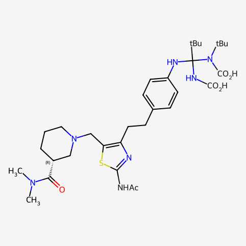 CC(=O)Nc1nc(CCc2ccc(NC(NC(=O)O)(N(C(=O)O)C(C)(C)C)C(C)(C)C)cc2)c(CN2CCC[C@@H](C(=O)N(C)C)C2)s1